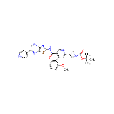 COc1ccccc1-c1cc(C2CN(C(=O)OC(C)(C)C)C2)ncc1C(=O)Nc1nc2ncc(-c3ccncc3)nc2s1